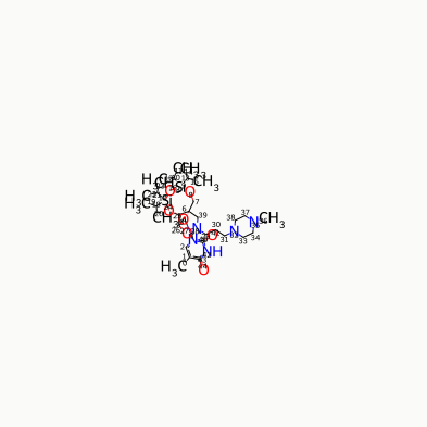 Cc1cn(C2OC34CO[Si](C(C)C)(C(C)C)O[Si](C(C)C)(C(C)C)OC3C2ON(CCCN2CCN(C)CC2)C4)c(=O)[nH]c1=O